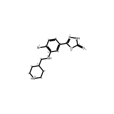 O=c1[nH]nc(-c2ccc(Br)c(NCC3CCNCC3)c2)o1